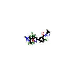 Cn1cc(C2(C(F)(F)F)CC(c3ccc(Cl)c(C(=O)NC4CC4)c3)=NO2)c(C(F)(F)F)n1